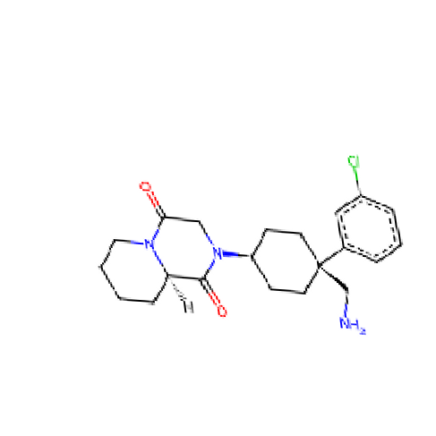 NC[C@]1(c2cccc(Cl)c2)CC[C@H](N2CC(=O)N3CCCC[C@@H]3C2=O)CC1